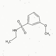 CCNS(=O)(=O)c1cccc(OC)c1